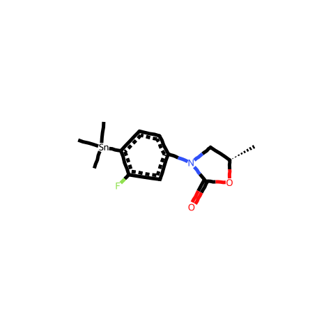 C[C@H]1CN(c2cc[c]([Sn]([CH3])([CH3])[CH3])c(F)c2)C(=O)O1